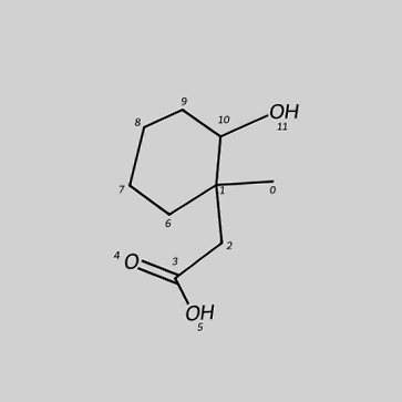 CC1(CC(=O)O)CCCCC1O